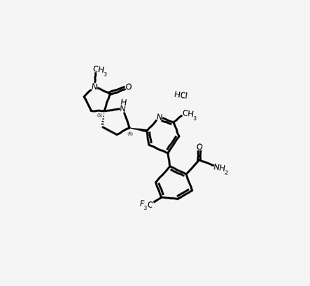 Cc1cc(-c2cc(C(F)(F)F)ccc2C(N)=O)cc([C@H]2CC[C@@]3(CCN(C)C3=O)N2)n1.Cl